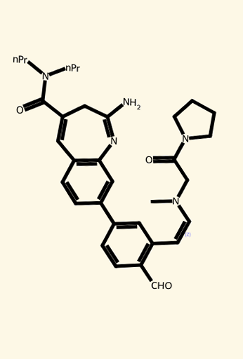 CCCN(CCC)C(=O)C1=Cc2ccc(-c3ccc(C=O)c(/C=C\N(C)CC(=O)N4CCCC4)c3)cc2N=C(N)C1